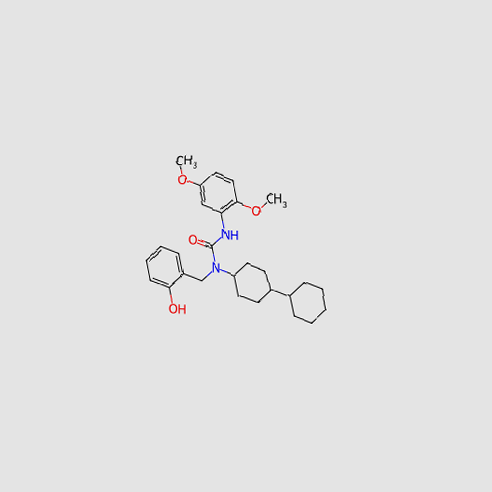 COc1ccc(OC)c(NC(=O)N(Cc2ccccc2O)C2CCC(C3CCCCC3)CC2)c1